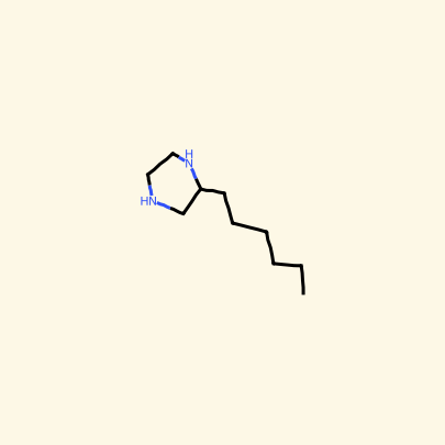 CCCCCCC1CNCCN1